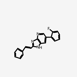 Fc1ccccc1-c1cnc2nc(C=Cc3ccccc3)[nH]c2c1